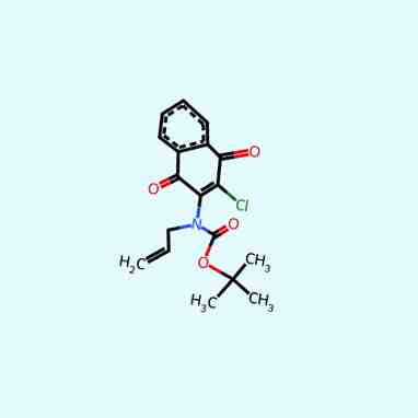 C=CCN(C(=O)OC(C)(C)C)C1=C(Cl)C(=O)c2ccccc2C1=O